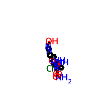 CNC(=O)c1ccccc1N(CCOS(N)(=O)=O)c1nc(Nc2ccc3c(c2OC)CCC[C@H](N2CCN(CCO)CC2)C3)ncc1Cl